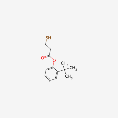 CC(C)(C)c1c[c]ccc1OC(=O)CCS